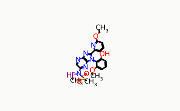 CCOC1=NC(c2nc3ncc(N(PC)S(C)(=O)=O)nc3n2-c2c(O)cccc2OC)=C=C=C1